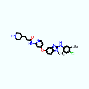 Cn1c(Nc2ccc(Cl)c(C(C)(C)C)c2)nc2cc(Oc3ccnc(NC(=O)CCC4CCNCC4)c3)ccc21